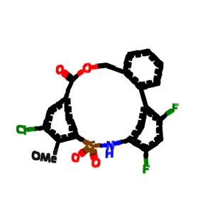 COc1c(Cl)cc2cc1S(=O)(=O)Nc1cc(c(F)cc1F)-c1ccccc1COC2=O